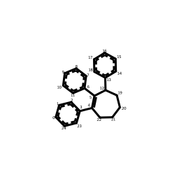 c1ccc(C2=C(c3ccccc3)C(c3ccccc3)CCCC2)cc1